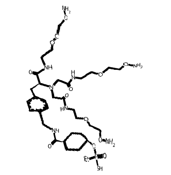 CCP(=O)(S)O[C@H]1CC[C@@H](C(=O)NCc2ccc(C[C@@H](C(=O)NCCOCCON)N(CC(=O)NCCOCCON)CC(=O)NCCOCCON)cc2)CC1